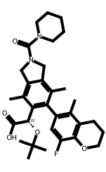 Cc1c(-c2c(C)c3c(c(C)c2[C@H](OC(C)(C)C)C(=O)O)CN(C(=O)N2CCCCC2)C3)cc(F)c2c1CCCO2